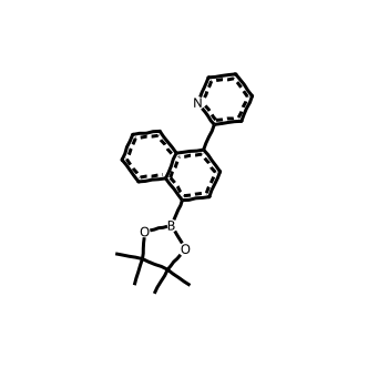 CC1(C)OB(c2ccc(-c3ccccn3)c3ccccc23)OC1(C)C